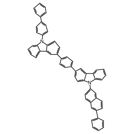 c1ccc(-c2ccc(-n3c4ccccc4c4cc(-c5ccc(-c6ccc7c(c6)c6ccccc6n7-c6ccc7cc(-c8ccccc8)ccc7c6)cc5)ccc43)cc2)cc1